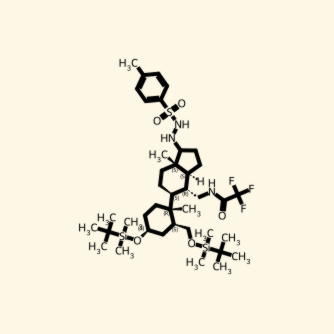 Cc1ccc(S(=O)(=O)NNC2CC[C@H]3[C@H](CNC(=O)C(F)(F)F)[C@@H]([C@@]4(C)CC[C@H](O[Si](C)(C)C(C)(C)C)C[C@@H]4CO[Si](C)(C)C(C)(C)C)CC[C@]23C)cc1